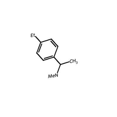 CCc1ccc(C(C)NC)cc1